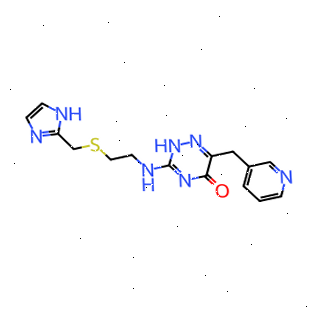 O=c1nc(NCCSCc2ncc[nH]2)[nH]nc1Cc1cccnc1